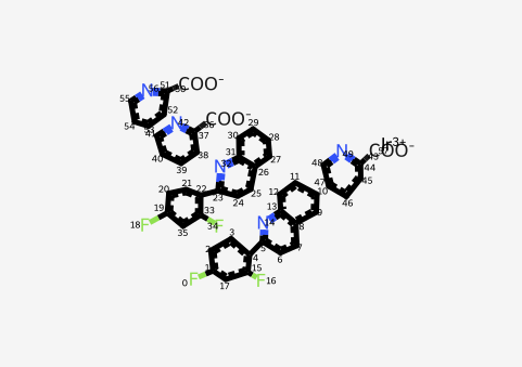 Fc1ccc(-c2ccc3ccccc3n2)c(F)c1.Fc1ccc(-c2ccc3ccccc3n2)c(F)c1.O=C([O-])c1ccccn1.O=C([O-])c1ccccn1.O=C([O-])c1ccccn1.[Ir+3]